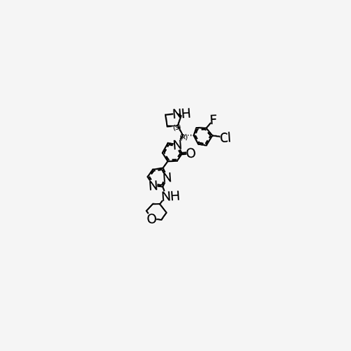 O=c1cc(-c2ccnc(NC3CCOCC3)n2)ccn1[C@@H](c1ccc(Cl)c(F)c1)[C@H]1CCNC1